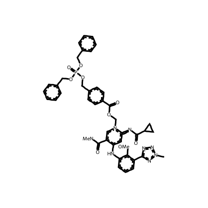 CNC(=O)c1cn(COC(=O)c2ccc(COP(=O)(OCc3ccccc3)OCc3ccccc3)cc2)c(=NC(=O)C2CC2)cc1Nc1cccc(-c2nnn(C)n2)c1OC